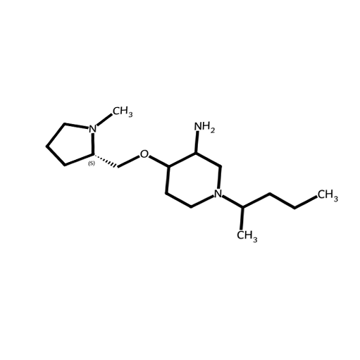 CCCC(C)N1CCC(OC[C@@H]2CCCN2C)C(N)C1